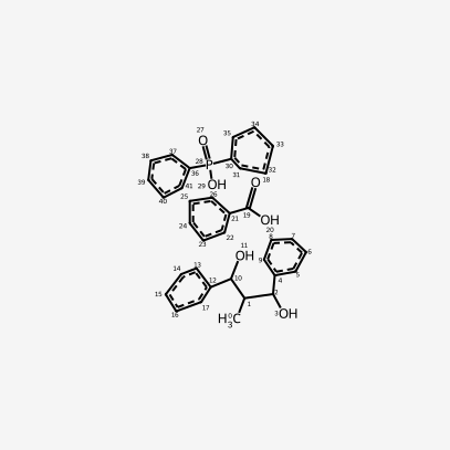 CC(C(O)c1ccccc1)C(O)c1ccccc1.O=C(O)c1ccccc1.O=P(O)(c1ccccc1)c1ccccc1